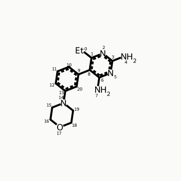 CCc1nc(N)nc(N)c1-c1cccc(N2CCOCC2)c1